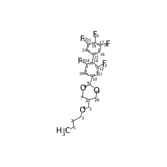 CCCCOCC1COC(c2cc(F)c(-c3cc(F)c(F)c(F)c3)c(F)c2)OC1